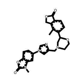 Cc1c(C2CN(Cc3cn(-c4ccc5oc(=O)n(C)c5c4)cn3)CCO2)ccc2c1COC2=O